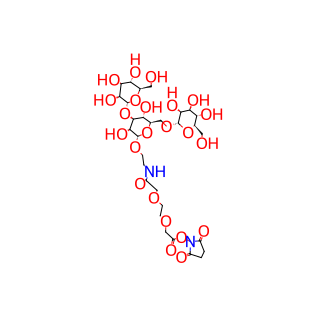 O=C(COCCOCC(=O)ON1C(=O)CCC1=O)NCCO[C@H]1O[C@H](CO[C@H]2O[C@H](CO)[C@@H](O)[C@H](O)[C@@H]2O)[C@@H](O)[C@H](O[C@H]2O[C@H](CO)[C@@H](O)[C@H](O)[C@@H]2O)[C@@H]1O